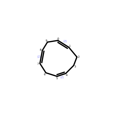 [C]1=C\CC/C=C\C/C=C\C/1